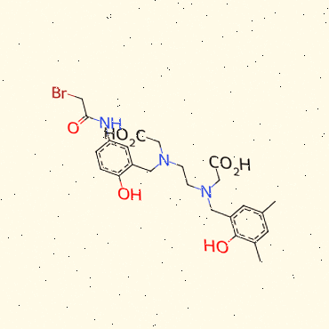 Cc1cc(C)c(O)c(CN(CCN(CC(=O)O)Cc2cc(NC(=O)CBr)ccc2O)CC(=O)O)c1